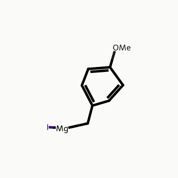 COc1ccc([CH2][Mg][I])cc1